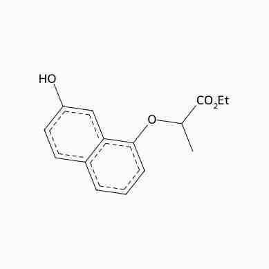 CCOC(=O)C(C)Oc1cccc2ccc(O)cc12